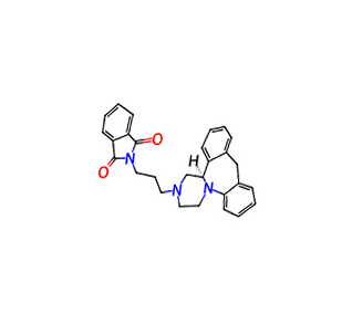 O=C1c2ccccc2C(=O)N1CCCN1CCN2c3ccccc3Cc3ccccc3[C@@H]2C1